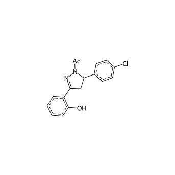 CC(=O)N1N=C(c2ccccc2O)CC1c1ccc(Cl)cc1